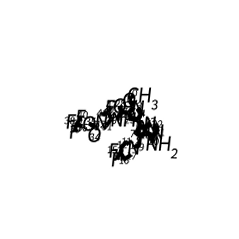 COc1ncc(-c2cc(CN3CCC(F)(F)CC3)c3c(N)ncnn23)cc1C(=O)NC1CN(C(=O)OCC(F)(F)F)CC1F